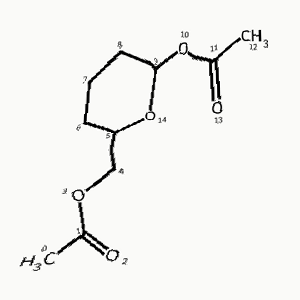 CC(=O)OCC1CCCC(OC(C)=O)O1